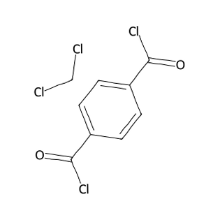 ClCCl.O=C(Cl)c1ccc(C(=O)Cl)cc1